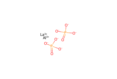 O=P([O-])([O-])[O-].O=P([O-])([O-])[O-].[Al+3].[La+3]